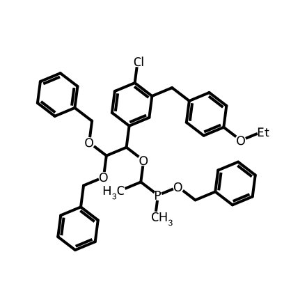 CCOc1ccc(Cc2cc(C(OC(C)P(C)OCc3ccccc3)C(OCc3ccccc3)OCc3ccccc3)ccc2Cl)cc1